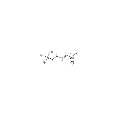 C[SiH](Cl)C=CCCC(F)(F)F